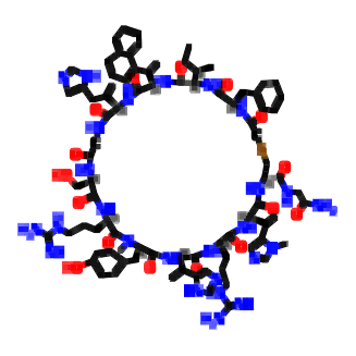 C=C(Cc1cnc[nH]1)[C@H]1NC(=O)[C@@H](C(=C)c2cccc3ccccc23)NC(=O)[C@@H]([C@H](C)CC)NC(=O)[C@@H](Cc2ccccc2)NC(=O)CSC[C@H](C(=O)NCC(N)=O)NC(=O)[C@@H](C(=C)c2cncn2C)NC(=O)[C@@H](CCCNC(=N)N)NC(=O)[C@@H](C(=C)c2cnc[nH]2)NC(=O)[C@@H](Cc2ccc(O)cc2)N(C)C(=O)[C@@H](CCCNC(=N)N)NC(=O)[C@@H](CO)NC(=O)CNC1=O